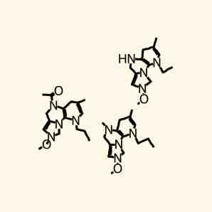 CCCN1C=C(C)CC2=C1N1CN(OC)C=C1CN2C.CCCN1C=C(C)CC2=C1N1CN(OC)C=C1CN2C(C)=O.CCN1C=C(C)CC2=C1N1CN(OC)C=C1CN2